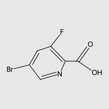 O=C(O)c1ncc(Br)cc1F